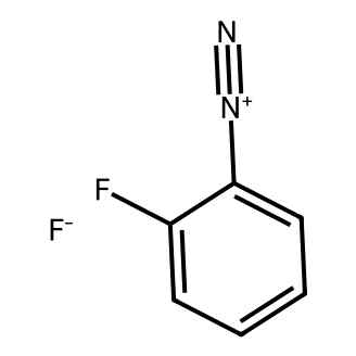 N#[N+]c1ccccc1F.[F-]